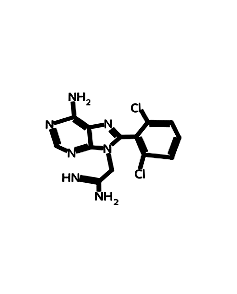 N=C(N)Cn1c(-c2c(Cl)cccc2Cl)nc2c(N)ncnc21